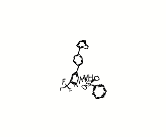 O=S(=O)(Nn1nc(C(F)(F)F)cc1-c1ccc(-c2ccco2)cc1)c1ccccc1